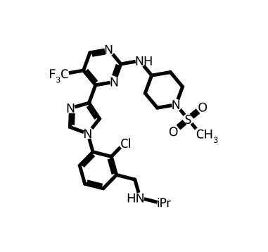 CC(C)NCc1cccc(-n2cnc(-c3nc(NC4CCN(S(C)(=O)=O)CC4)ncc3C(F)(F)F)c2)c1Cl